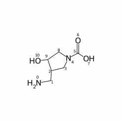 NCC1CN(C(=O)O)CC1O